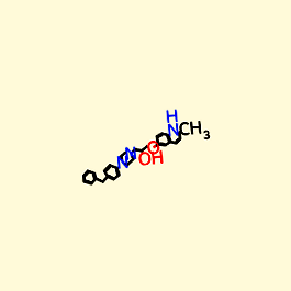 CC1C=Cc2cc(OC[C@@H](O)CN3CCN(c4ccc(Cc5ccccc5)cc4)CC3)ccc2N1